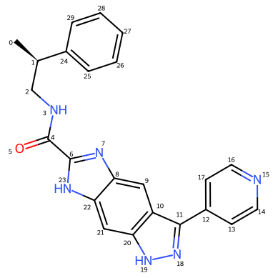 C[C@H](CNC(=O)c1nc2cc3c(-c4ccncc4)n[nH]c3cc2[nH]1)c1ccccc1